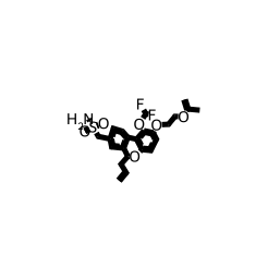 C=CCC1Oc2ccc(OCCOC(=C)C)c(OC(F)F)c2-c2ccc(CS(N)(=O)=O)cc21